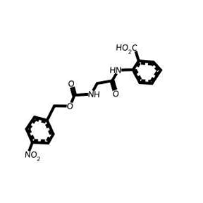 O=C(CNC(=O)OCc1ccc([N+](=O)[O-])cc1)Nc1ccccc1C(=O)O